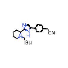 CCC(C)CN1CCCCC1c1ncc(-c2ccc(CC#N)cc2)[nH]1